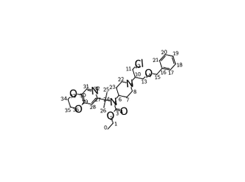 CCOC(=O)N(C1CCN(C(CCl)COCc2ccccc2)CC1)C(C)(C)c1cc2c(cn1)OCCO2